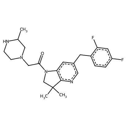 CC1CN(CC(=O)N2CC(C)(C)c3ncc(Cc4ccc(F)cc4F)cc32)CCN1